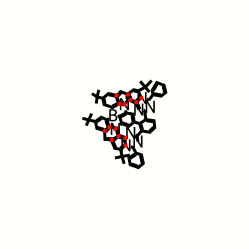 CC(C)(C)c1ccc(N2c3ccc(C(C)(C)C)cc3B3c4cc(C(C)(C)C)ccc4N(c4ccc(C(C)(C)C)cc4)c4cc(-c5c(-c6nc(-c7ccccc7)nc(-c7ccccc7)n6)cccc5-c5nc(-c6ccccc6)nc(-c6ccccc6)n5)cc2c43)cc1